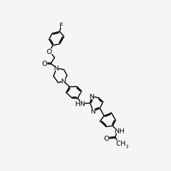 CC(=O)Nc1ccc(-c2ccnc(Nc3ccc(N4CCN(C(=O)COc5ccc(F)cc5)CC4)cc3)n2)cc1